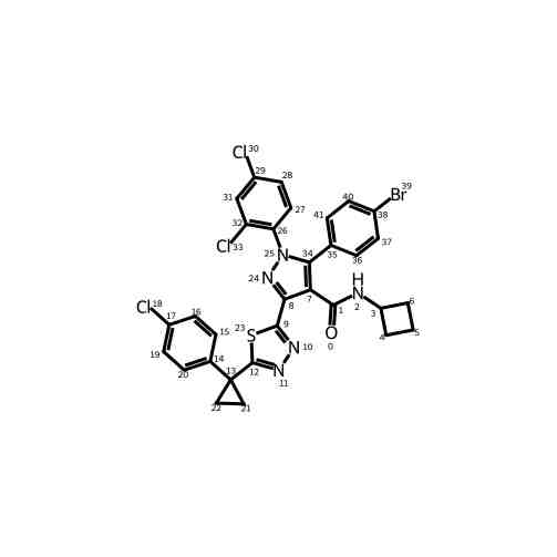 O=C(NC1CCC1)c1c(-c2nnc(C3(c4ccc(Cl)cc4)CC3)s2)nn(-c2ccc(Cl)cc2Cl)c1-c1ccc(Br)cc1